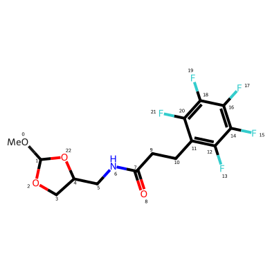 COC1OCC(CNC(=O)CCc2c(F)c(F)c(F)c(F)c2F)O1